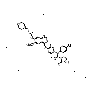 COc1cc2c(Oc3ccc(N(C(=O)C4CCNC4=O)c4ccc(Cl)cc4)cc3F)ccnc2cc1OCCCN1CCOCC1